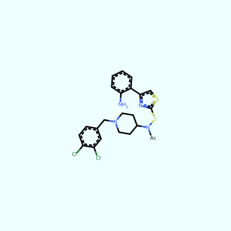 CC(=O)N(Sc1nc(-c2ccccc2N)cs1)C1CCN(Cc2ccc(Cl)c(Cl)c2)CC1